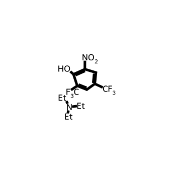 CCN(CC)CC.O=[N+]([O-])c1cc(C(F)(F)F)cc(C(F)(F)F)c1O